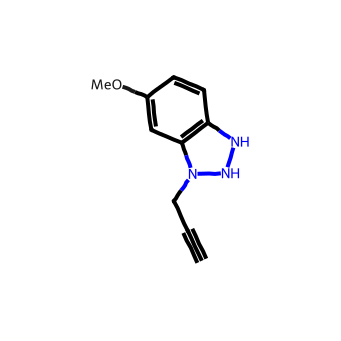 C#CCN1NNc2ccc(OC)cc21